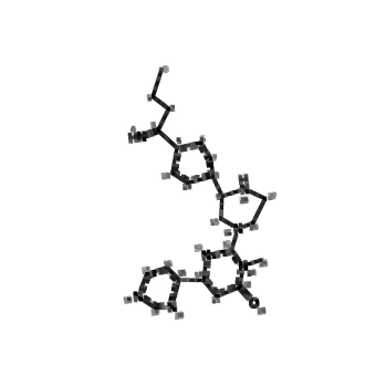 CCCC(=N)c1ccc(C2CN(c3nc(-c4ccncn4)cc(=O)n3C)CCN2)cc1